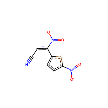 N#C/[C]=C(\c1ccc([N+](=O)[O-])s1)[N+](=O)[O-]